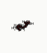 CCc1cccc2cc(O)cc(-c3ncc4c(N5CCCCCC5)nc(OC[C@]56CCCN5[C@H](COC(=O)N5CC(Oc7cc([C@H](C(=O)N8CCC[C@H]8C(=O)N[C@@H](C)c8ccc(-c9scnc9C)cc8)C(C)C)on7)C5)CC6)nc4c3F)c12